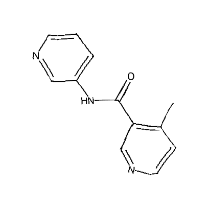 Cc1ccncc1C(=O)Nc1cccnc1